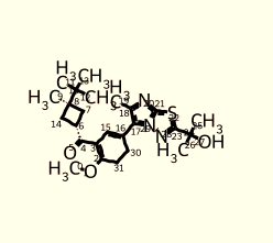 COC1=C(C(=O)[C@H]2C[C@](C)(C(C)(C)C)C2)C=C(c2c(C)nc3sc(C(C)(C)O)nn23)CC1